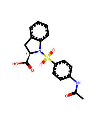 CC(=O)Nc1ccc(S(=O)(=O)N2c3ccccc3C[C@@H]2C(=O)O)cc1